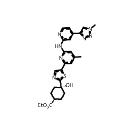 CCOC(=O)[C@H]1CC[C@@](O)(c2ncc(-c3cc(C)cc(Nc4cc(-c5cn(C)nn5)ccn4)n3)s2)CC1